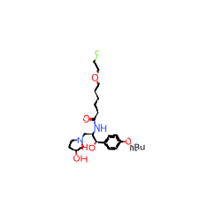 CCCCOc1ccc([C@@H](O)[C@@H](CN2CC[C@H](O)C2)NC(=O)CCCCCOCCF)cc1